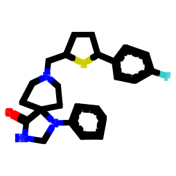 O=C1NCN(c2ccccc2)C12CCN(CC1CCC(c3ccc(F)cc3)S1)CC2